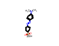 CNS(=O)(=O)c1ccc(/N=N/c2ccc(N(C)C)cc2)cc1